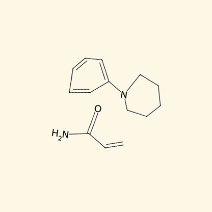 C=CC(N)=O.c1ccc(N2CCCCC2)cc1